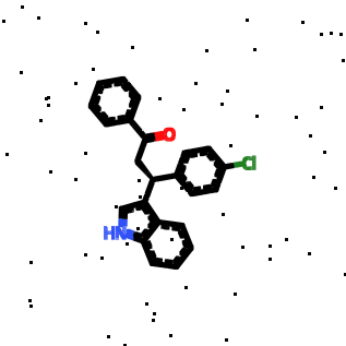 O=C(C[C@@H](c1ccc(Cl)cc1)c1c[nH]c2ccccc12)c1ccccc1